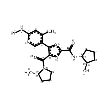 Cc1cc(NC(C)C)ncc1-c1sc(C(=O)N[C@@H]2CCC[C@H]2O)nc1C(=O)N1CCC[C@@H]1C